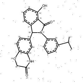 CC(C)c1cccc(N2C(=O)c3c(O)cccc3C2c2ccc3c(c2)NC(=O)CO3)c1